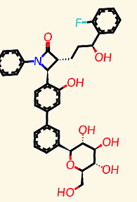 O=C1[C@H](CC[C@H](O)c2ccccc2F)[C@@H](c2ccc(-c3cccc([C@@H]4O[C@H](CO)[C@@H](O)[C@H](O)[C@H]4O)c3)cc2O)N1c1ccccc1